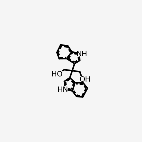 OCC(CO)(c1c[nH]c2ccccc12)c1c[nH]c2ccccc12